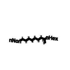 [CH2]CCCCCCCCCCCCCCCC(C)CCCCC[CH2]